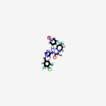 C[C@@H](C(=O)Nc1cn(Cc2cc(F)c(Cl)c(F)c2)cn1)N1CCC(F)(F)[C@@H](c2cc[n+]([O-])cc2)C1